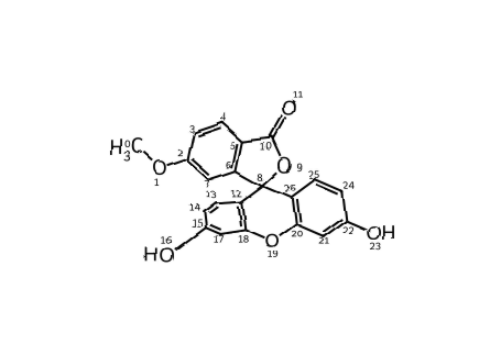 COc1ccc2c(c1)C1(OC2=O)c2ccc(O)cc2Oc2cc(O)ccc21